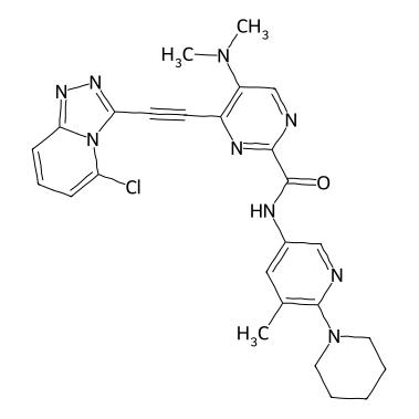 Cc1cc(NC(=O)c2ncc(N(C)C)c(C#Cc3nnc4cccc(Cl)n34)n2)cnc1N1CCCCC1